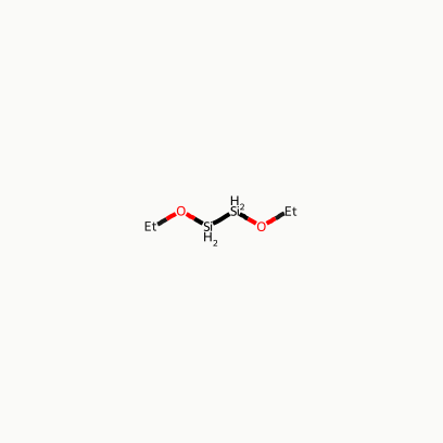 CCO[SiH2][SiH2]OCC